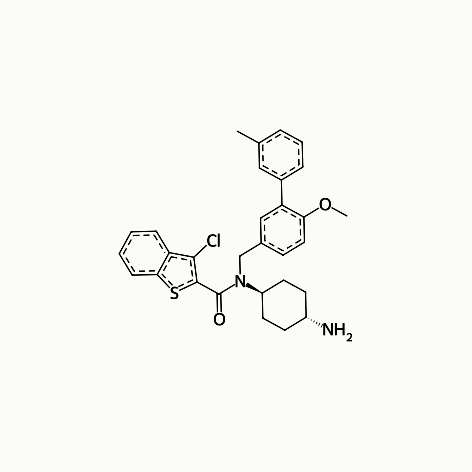 COc1ccc(CN(C(=O)c2sc3ccccc3c2Cl)[C@H]2CC[C@H](N)CC2)cc1-c1cccc(C)c1